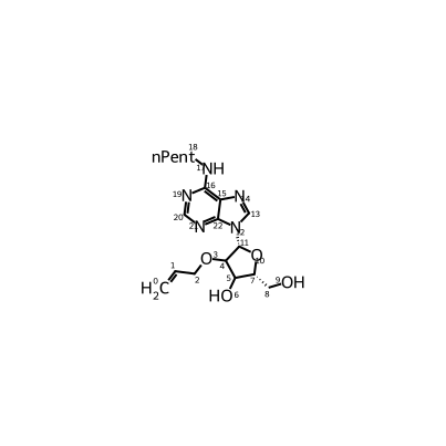 C=CCOC1C(O)[C@@H](CO)O[C@H]1n1cnc2c(NCCCCC)ncnc21